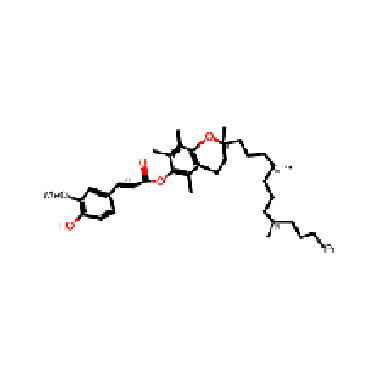 COc1cc(/C=C/C(=O)Oc2c(C)c(C)c3c(c2C)CC[C@@](C)(CCC[C@H](C)CCC[C@H](C)CCCC(C)C)O3)ccc1O